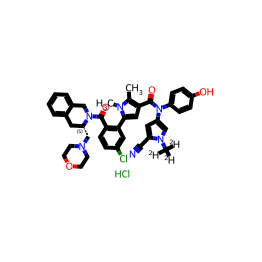 Cl.[2H]C([2H])([2H])n1cc(N(C(=O)c2cc(-c3cc(Cl)ccc3C(=O)N3Cc4ccccc4C[C@H]3CN3CCOCC3)n(C)c2C)c2ccc(O)cc2)cc1C#N